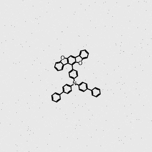 c1ccc(-c2ccc(N(c3ccc(-c4ccccc4)cc3)c3ccc(-c4c5oc6ccccc6c5cc5oc6ccccc6c45)cc3)cc2)cc1